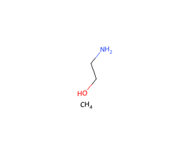 C.NCCO